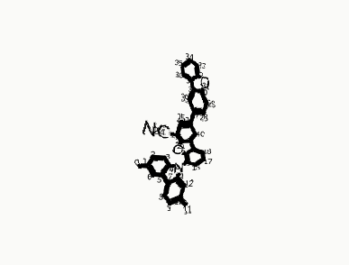 Cc1ccc2c(c1)c1ccc(C)cc1n2-c1cccc2c1oc1c(C#N)cc(-c3ccc4oc5ccccc5c4c3)cc12